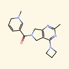 Cc1nc2c(c(N3CCC3)n1)CN(C(=O)C1=CN(C)CC=C1)C2